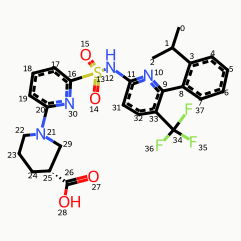 CC(C)c1ccccc1-c1nc(NS(=O)(=O)c2cccc(N3CCC[C@@H](C(=O)O)C3)n2)ccc1C(F)(F)F